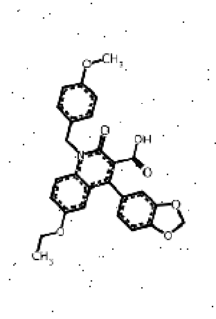 CCOc1ccc2c(c1)c(-c1ccc3c(c1)OCO3)c(C(=O)O)c(=O)n2Cc1ccc(OC)cc1